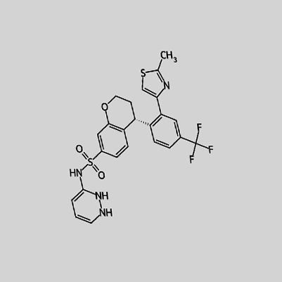 Cc1nc(-c2cc(C(F)(F)F)ccc2[C@H]2CCOc3cc(S(=O)(=O)NC4=CC=CNN4)ccc32)cs1